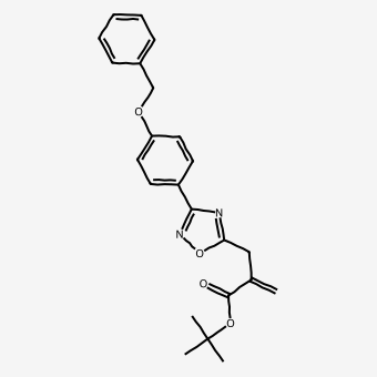 C=C(Cc1nc(-c2ccc(OCc3ccccc3)cc2)no1)C(=O)OC(C)(C)C